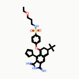 CCOCCCNS(=O)(=O)c1ccc(OC2=c3c(C4C=CC=C4)c4c(cc3=CC(C(C)(C)C)C2)C(=N)NC4=N)cc1